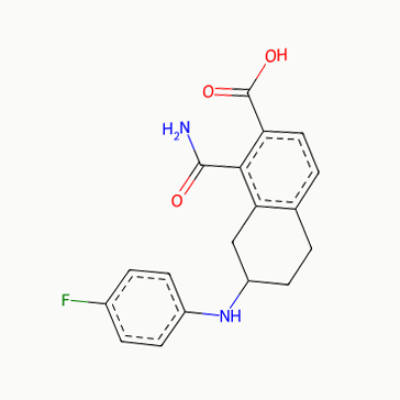 NC(=O)c1c(C(=O)O)ccc2c1CC(Nc1ccc(F)cc1)CC2